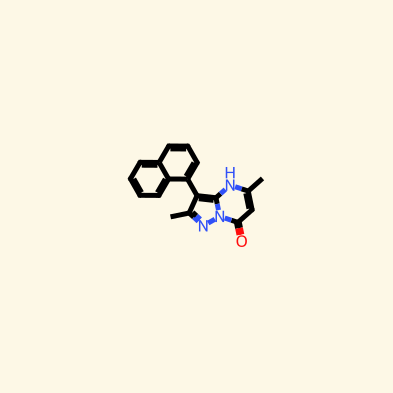 Cc1cc(=O)n2nc(C)c(-c3cccc4ccccc34)c2[nH]1